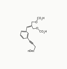 CCCCCCCCCCCC#Cc1cccc(C=C(COC(=O)O)COC(=O)O)c1